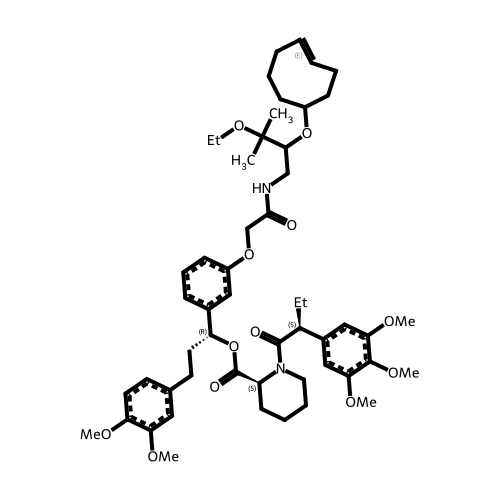 CCOC(C)(C)C(CNC(=O)COc1cccc([C@@H](CCc2ccc(OC)c(OC)c2)OC(=O)[C@@H]2CCCCN2C(=O)[C@@H](CC)c2cc(OC)c(OC)c(OC)c2)c1)OC1CC/C=C/CCC1